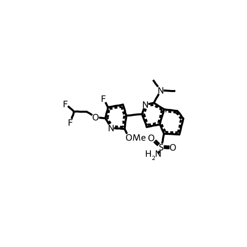 COc1nc(OCC(F)F)c(F)cc1-c1cc2c(S(N)(=O)=O)cccc2c(N(C)C)n1